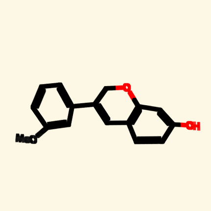 COc1cccc(C2=Cc3ccc(O)cc3OC2)c1